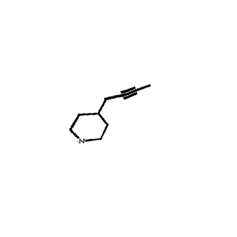 CC#CCC1CC[N]CC1